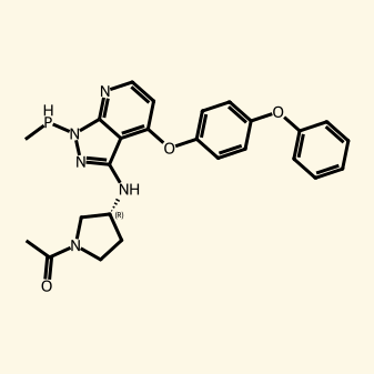 CPn1nc(N[C@@H]2CCN(C(C)=O)C2)c2c(Oc3ccc(Oc4ccccc4)cc3)ccnc21